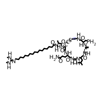 C=C1CNC(=O)C(CC(C)C)NC(=O)NC(=O)C(CCC(N)=O)NC(=O)C(NC(=O)C(C)NC(=O)CCCCCCCCCCCCCCCCN=C(NC)NC)CCS/C=C\NC(=O)C(CP)N1